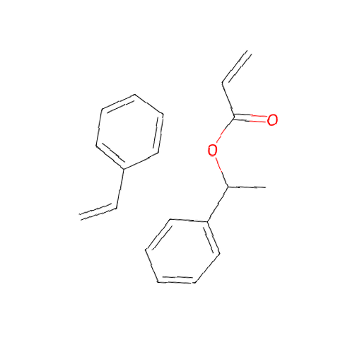 C=CC(=O)OC(C)c1ccccc1.C=Cc1ccccc1